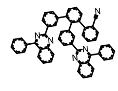 N#Cc1ccccc1-c1cccc(-c2cccc(-c3nc(-c4ccccc4)c4ccccc4n3)c2)c1-c1cccc(-c2nc(-c3ccccc3)c3ccccc3n2)c1